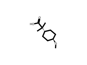 CO[C@H]1CC[C@H](C(C)(C)C(=O)O)CC1